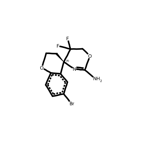 NC1=N[C@@]2(CCOc3ccc(Br)cc32)C(F)(F)CO1